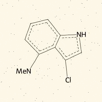 CNc1cccc2[nH]cc(Cl)c12